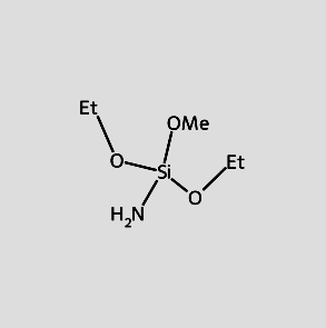 CCO[Si](N)(OC)OCC